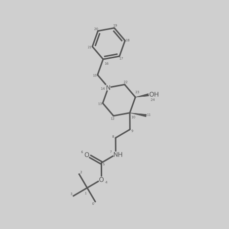 CC(C)(C)OC(=O)NCC[C@]1(C)CCN(Cc2ccccc2)C[C@H]1O